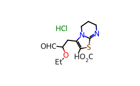 CCOC(C=O)CC1=C(C(=O)O)SC2=NCCCN21.Cl